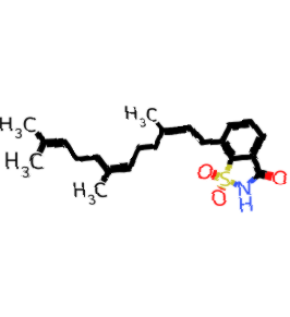 CC(C)=CCCC(C)=CCCC(C)=CCc1cccc2c1S(=O)(=O)NC2=O